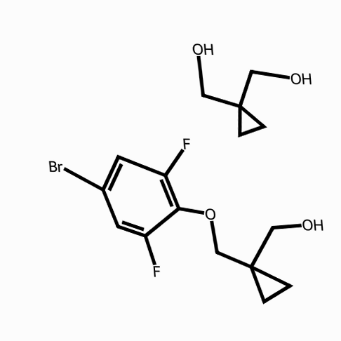 OCC1(CO)CC1.OCC1(COc2c(F)cc(Br)cc2F)CC1